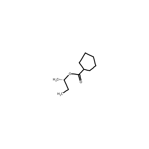 CC[C@H](C)OC(=O)C1CCCCC1